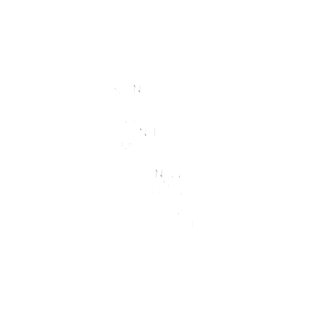 O=C(Nc1ccc2scnc2c1)C1CCN(S(=O)(=O)c2ccc(F)cc2)CC1